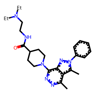 CCN(CC)CCNC(=O)C1CCN(c2nnc(C)c3c(C)n(-c4ccccc4)nc23)CC1